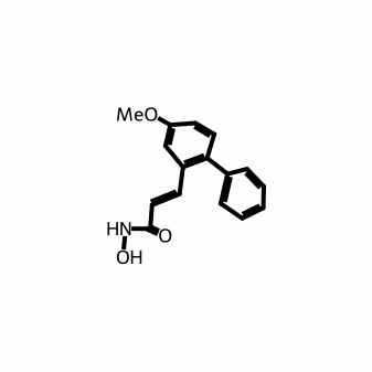 COc1ccc(-c2ccccc2)c(C=CC(=O)NO)c1